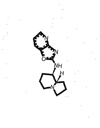 c1cnc2nc(N[C@@H]3CCCN4CCC[C@@H]34)oc2c1